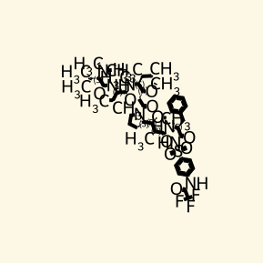 CCC(C)[C@@H]([C@@H](CC(=O)N1CCC[C@H]1[C@H](OC)[C@@H](C)C(=O)N[C@@H](Cc1ccccc1)C(=O)NS(=O)(=O)c1ccc(NC(=O)C(F)(F)F)cc1)OC)N(C)C(=O)[C@@H](NC(=O)[C@H](C(C)C)N(C)C)C(C)C